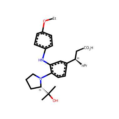 CCC[C@H](CC(=O)O)c1ccc(N2CCC[C@H]2C(C)(C)O)c(Nc2ccc(OCC)cc2)c1